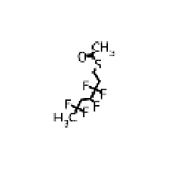 CC(=O)SCCC(F)(F)C(F)CC(C)(F)F